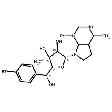 CCN1CNC(C)C2CCN([C@@H]3O[C@H]([C@H](O)c4ccc(C(C)C)cc4)[C@@](C)(O)[C@H]3O)C21